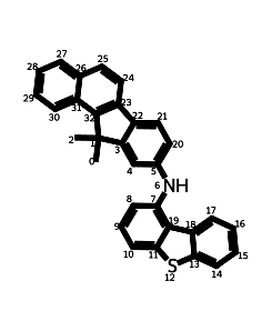 CC1(C)c2cc(Nc3cccc4sc5ccccc5c34)ccc2-c2ccc3ccccc3c21